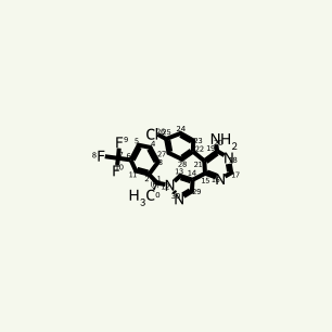 C[C@H](c1cccc(C(F)(F)F)c1)n1cc(-c2ncnc(N)c2-c2ccc(Cl)cc2)cn1